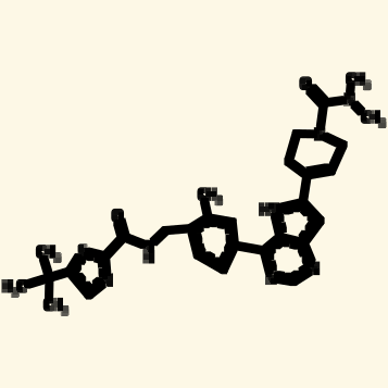 Cc1cc(-c2ncnc3cc(C4=CCN(C(=O)N(C)C)CC4)[nH]c23)ccc1CNC(=O)c1ncc(C(C)(C)C)s1